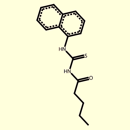 CCCCC(=O)NC(=S)Nc1cccc2ccccc12